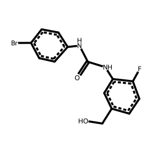 O=C(Nc1ccc(Br)cc1)Nc1cc(CO)ccc1F